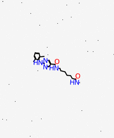 CNC(=O)CCCCCCNC(=O)c1cnc(Nc2c(C)cccc2C)nc1